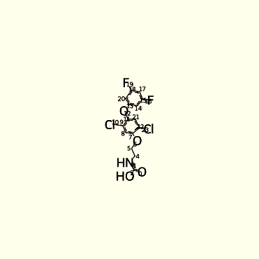 O=C(O)NCCOc1cc(Cl)c(Oc2cc(F)cc(F)c2)cc1Cl